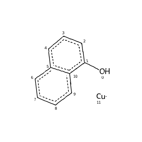 Oc1cccc2ccccc12.[Cu]